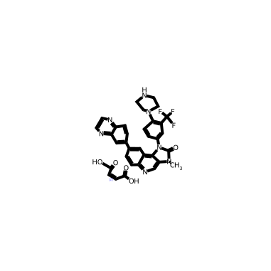 Cn1c(=O)n(-c2ccc(N3CCNCC3)c(C(F)(F)F)c2)c2c3cc(-c4ccc5nccnc5c4)ccc3ncc21.O=C(O)/C=C\C(=O)O